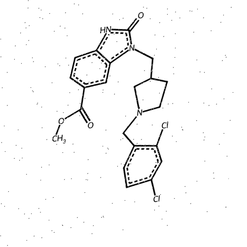 COC(=O)c1ccc2[nH]c(=O)n(CC3CCN(Cc4ccc(Cl)cc4Cl)C3)c2c1